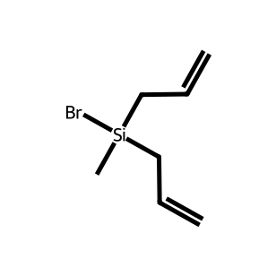 C=CC[Si](C)(Br)CC=C